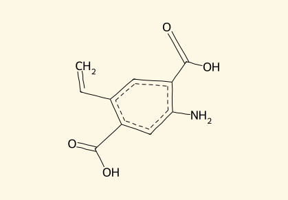 C=Cc1cc(C(=O)O)c(N)cc1C(=O)O